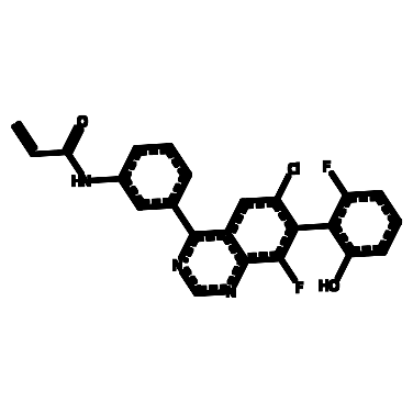 C=CC(=O)Nc1cccc(-c2ncnc3c(F)c(-c4c(O)cccc4F)c(Cl)cc23)c1